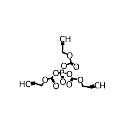 C#CCOC(=O)OP(=O)(OC(=O)OCC#C)OC(=O)OCC#C